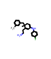 CC1(Cc2cccc(C(F)(F)F)c2)CC=C(Nc2ccc(F)cc2)C=C1CCN